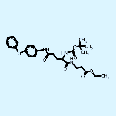 CCOC(=O)CCNC(=O)C(CCC(=O)Nc1ccc(Oc2ccccc2)cc1)NC(=O)OC(C)(C)C